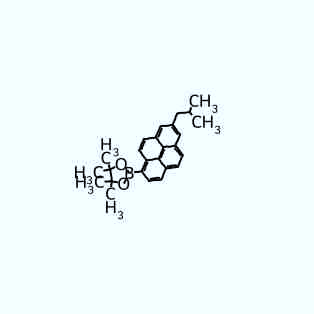 CC(C)Cc1cc2ccc3ccc(B4OC(C)(C)C(C)(C)O4)c4ccc(c1)c2c34